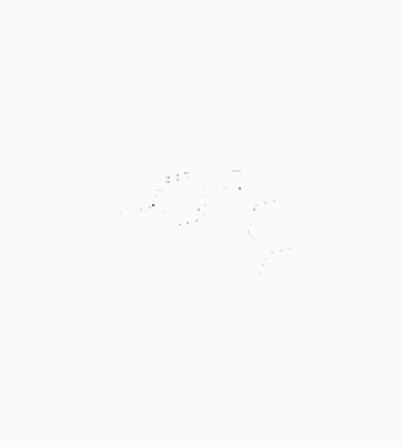 COc1ccc(NC(C)CC(C)C)cc1